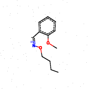 CCCCO/N=[C]\c1ccccc1OC